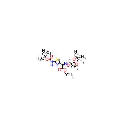 CCOC(=O)/C(=N\OC(C)(C)C(=O)OC(C)(C)C)c1csc(NC(=O)OC(C)(C)C)n1